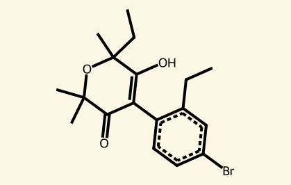 CCc1cc(Br)ccc1C1=C(O)C(C)(CC)OC(C)(C)C1=O